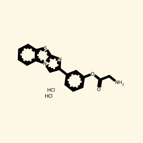 Cl.Cl.NCC(=O)Oc1cccc(-c2cn3c(n2)sc2ccccc23)c1